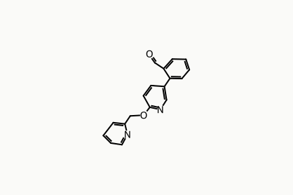 O=Cc1ccccc1-c1ccc(OCc2ccccn2)nc1